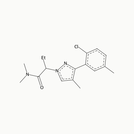 CCC(C(=O)N(C)C)n1cc(C)c(-c2cc(C)ccc2Cl)n1